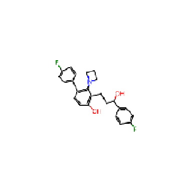 Oc1ccc(-c2ccc(F)cc2)c(N2CCC2)c1CC[C@@H](O)c1ccc(F)cc1